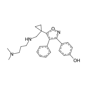 CN(C)CCCNCC1(c2onc(-c3ccc(O)cc3)c2-c2ccccc2)CC1